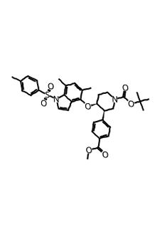 COC(=O)c1ccc([C@@H]2CN(C(=O)OC(C)(C)C)CC[C@@H]2Oc2c(C)cc(C)c3c2ccn3S(=O)(=O)c2ccc(C)cc2)cc1